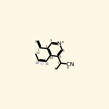 C=Cc1cncc(C(C)C#N)c1/C=C\C